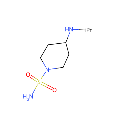 CC(C)NC1CCN(S(N)(=O)=O)CC1